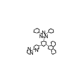 c1ccc(-c2nc(-c3ccccc3)nc(-c3cc(-c4ccc(-c5ncccn5)nc4)cc(-c4cc5ccccc5c5ccccc45)c3)n2)cc1